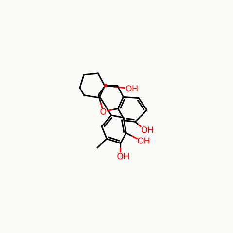 Cc1cc(C2C(O)C34CCCCC23Oc2cc(O)ccc2C4)cc(O)c1O